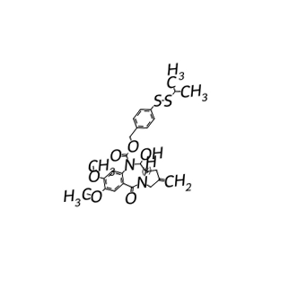 C=C1C[C@H]2C(O)N(C(=O)OCc3ccc(SSC(C)C)cc3)c3cc(OC)c(OC)cc3C(=O)N2C1